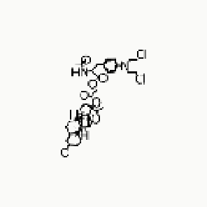 CC(=O)NC(Cc1ccc(N(CCCl)CCCl)cc1)C(=O)OCC(=O)O[C@]1(C(C)=O)CC[C@H]2[C@@H]3CCC4=CC(=O)CC[C@]4(C)[C@H]3CC[C@@]21C